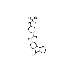 CCn1c2ccccc2c2cc(NC(=O)C3CCC(NS(=O)(=O)C(C)(C)C)CC3)ccc21